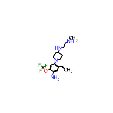 C=Cc1cc(N)c(OC(F)(F)F)cc1N1CCC(NCCNC)CC1